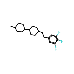 CC1CCC(C2CCC(CCc3cc(F)c(F)c(F)c3)CC2)CC1